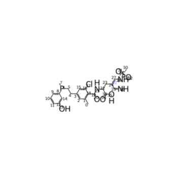 Cc1cc(CCP(C)c2cccc(O)c2)cc(Cl)c1C(=O)NC(C/C(C=N)=C/NS(C)(=O)=O)C(=O)O